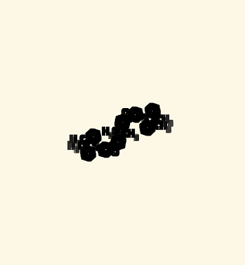 CC1(C)c2ccccc2N(c2ccc3oc4ccc([Si](C)(C)c5ccc6oc7ccc(N8c9ccccc9C(C)(C)c9ccccc98)cc7c6c5)cc4c3c2)c2ccccc21